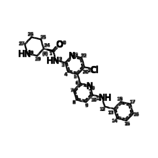 O=C(Nc1cc(-c2cccc(NCc3ccccc3)n2)c(Cl)cn1)[C@@H]1CCCNC1